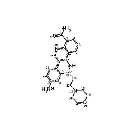 NC(=O)c1cccc2c(N[C@H](CCN3CCOCC3)c3cccc(N)c3)ncnc12